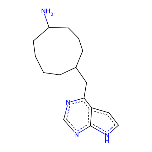 NC1CCCCC(Cc2ncnc3[nH]ccc23)CCC1